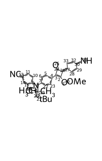 COOC1=C(c2ccc(N(c3ccc(C#N)cc3C)C(C)(C)CC(C)(C)C)cc2)C(=O)C1=C1C=CC(=N)C=C1